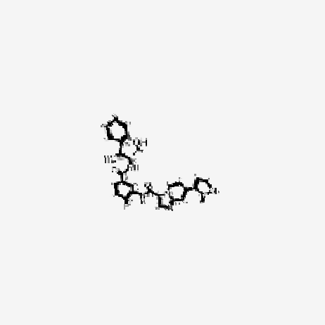 Cn1nccc1-c1ccn2c(C(=O)Nc3cc(C(=O)N[C@@H](CO)[C@@H](O)c4ccccc4)ccc3F)cnc2c1